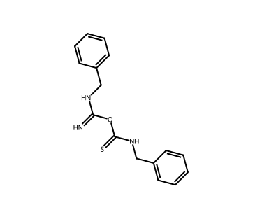 N=C(NCc1ccccc1)OC(=S)NCc1ccccc1